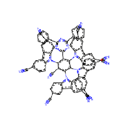 N#Cc1ccc2c(c1)c1cc(C#N)ccc1n2-c1c(C#N)c(-n2c3ccc(C#N)cc3c3cc(C#N)ccc32)c(-n2c3ccc(C#N)cc3c3cc(C#N)ccc32)c(-n2c3ccc(C#N)cc3c3cc(C#N)ccc32)c1-c1nc(-c2ccccc2)nc(-c2ccccc2)n1